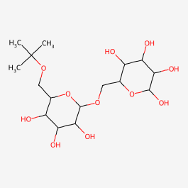 CC(C)(C)OCC1OC(OCC2OC(O)C(O)C(O)C2O)C(O)C(O)C1O